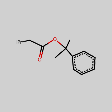 CC(C)CC(=O)OC(C)(C)c1ccccc1